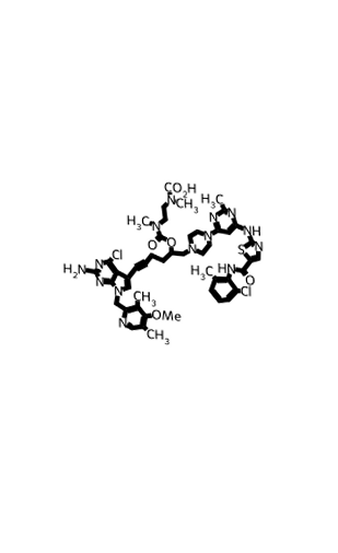 COc1c(C)cnc(Cn2cc(C#CCCC(CN3CCN(c4cc(Nc5ncc(C(=O)Nc6c(C)cccc6Cl)s5)nc(C)n4)CC3)OC(=O)N(C)CCN(C)C(=O)O)c3c(Cl)nc(N)nc32)c1C